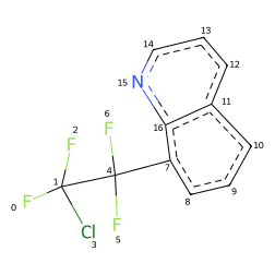 FC(F)(Cl)C(F)(F)c1cccc2cccnc12